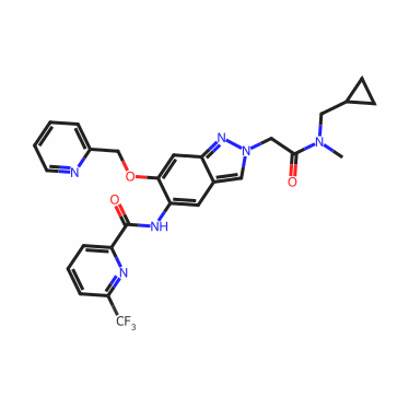 CN(CC1CC1)C(=O)Cn1cc2cc(NC(=O)c3cccc(C(F)(F)F)n3)c(OCc3ccccn3)cc2n1